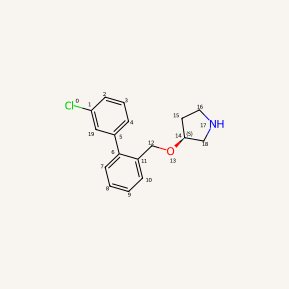 Clc1cccc(-c2ccccc2CO[C@H]2CCNC2)c1